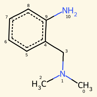 CN(C)Cc1cc[c]cc1N